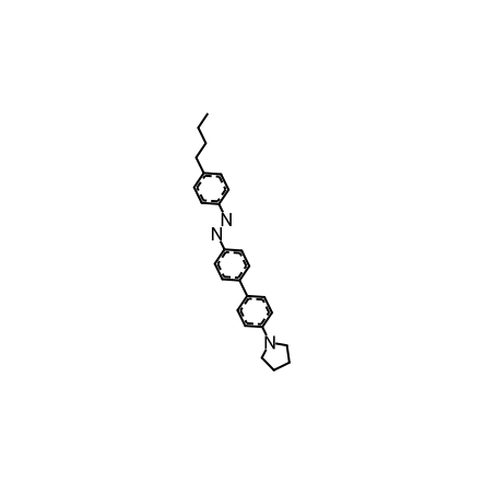 CCCCc1ccc(N=Nc2ccc(-c3ccc(N4CCCC4)cc3)cc2)cc1